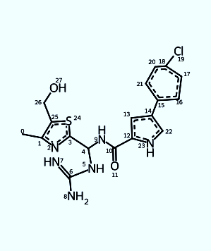 Cc1nc(C(NC(=N)N)NC(=O)c2cc(-c3ccc(Cl)cc3)c[nH]2)sc1CO